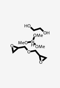 C(OCC1CO1)C1CO1.CO[SiH](OC)OC.OCCO